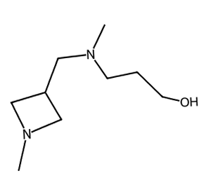 CN(CCCO)CC1CN(C)C1